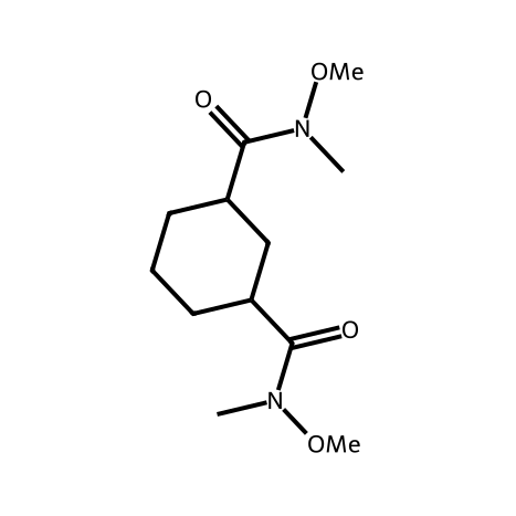 CON(C)C(=O)C1CCCC(C(=O)N(C)OC)C1